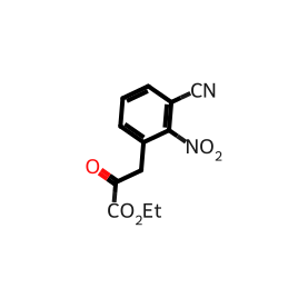 CCOC(=O)C(=O)Cc1cccc(C#N)c1[N+](=O)[O-]